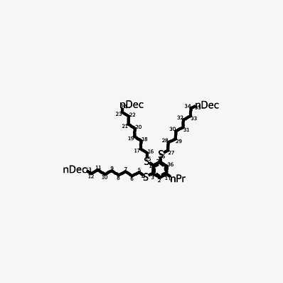 [CH2]CCc1cc(SCCCCCCCCCCCCCCCCCC)c(SCCCCCCCCCCCCCCCCCC)c(SCCCCCCCCCCCCCCCCCC)c1